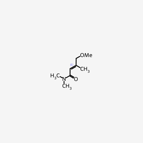 COC/C(C)=C/C(=O)N(C)C